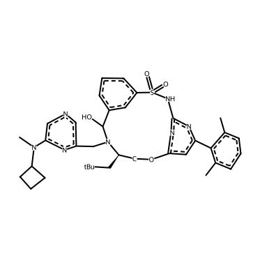 Cc1cccc(C)c1-c1cc2nc(n1)NS(=O)(=O)c1cccc(c1)C(O)N(Cc1cncc(N(C)C3CCC3)n1)[C@H](CC(C)(C)C)CO2